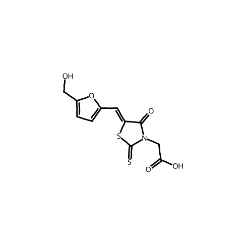 O=C(O)CN1C(=O)/C(=C/c2ccc(CO)o2)SC1=S